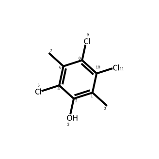 Cc1c(O)c(Cl)c(C)c(Cl)c1Cl